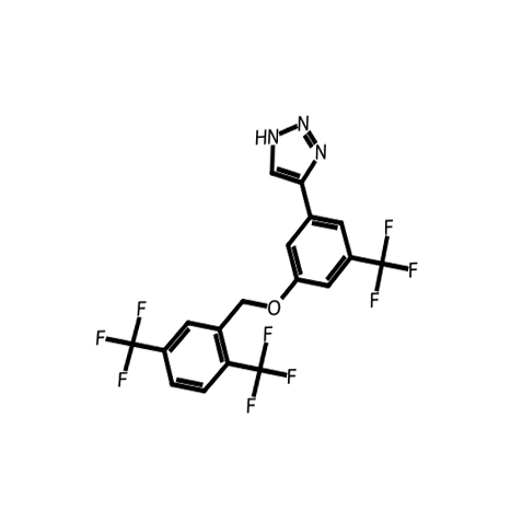 FC(F)(F)c1cc(OCc2cc(C(F)(F)F)ccc2C(F)(F)F)cc(-c2c[nH]nn2)c1